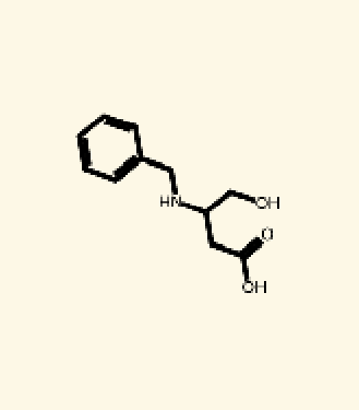 O=C(O)CC(CO)NCc1ccccc1